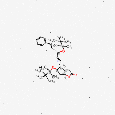 CC(C)(C)[Si](C)(C)O[C@H](/C=C/[C@@H]1[C@H]2CC(=O)O[C@H]2C[C@H]1O[Si](C)(C)C(C)(C)C)CCc1ccccc1